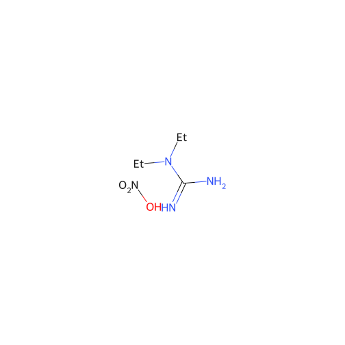 CCN(CC)C(=N)N.O=[N+]([O-])O